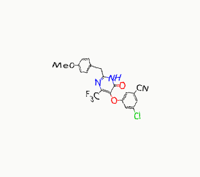 COc1ccc(Cc2nc(C(F)(F)F)c(Oc3cc(Cl)cc(C#N)c3)c(=O)[nH]2)cc1